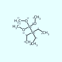 CC[Si](CC)(CC)[Si](OC)(OC)OC